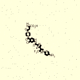 Cn1c(-c2cn(-c3ccc(N)cn3)nc2C(F)(F)F)cnc1C(=O)Nc1ccc(C(=O)N2CCN(C(=O)CC(N)C(=O)O)CC2)c(Cl)c1